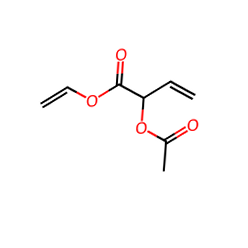 C=COC(=O)C(C=C)OC(C)=O